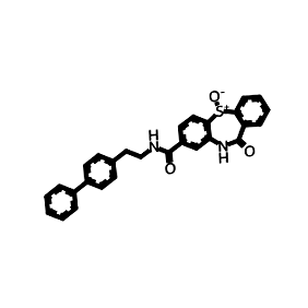 O=C(NCCc1ccc(-c2ccccc2)cc1)c1ccc2c(c1)NC(=O)c1ccccc1[S+]2[O-]